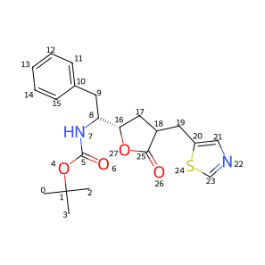 CC(C)(C)OC(=O)NC(Cc1ccccc1)[C@@H]1CC(Cc2cncs2)C(=O)O1